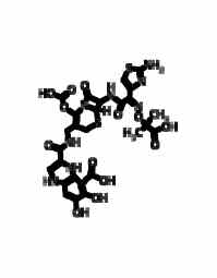 CC(C)(O/N=C(\C(=O)NC1C(=O)N2C(OC(=O)O)=C(CNC(=O)C3=CNc4cc(O)c(O)c(C(=O)O)c4N3)CS[C@@H]12)c1csc(N)n1)C(=O)O